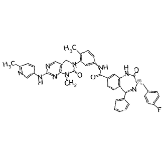 Cc1ccc(Nc2ncc3c(n2)N(C)C(=O)N(c2cc(NC(=O)c4ccc5c(c4)NC(=O)[C@H](Cc4ccc(F)cc4)N=C5c4ccccc4)ccc2C)C3)cn1